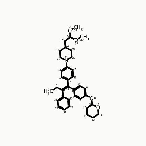 CCC(=C(c1ccc(OC2CCCCO2)cc1)c1ccc(N2CCC(CC(OC)OC)CC2)cc1)c1ccccc1